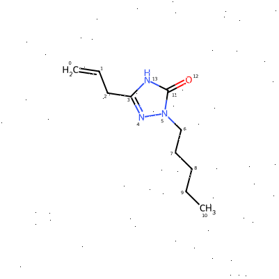 C=CCc1nn(CCCCC)c(=O)[nH]1